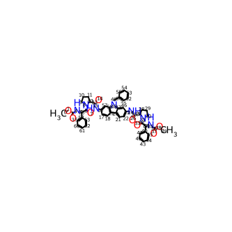 COC(=O)N[C@@H](C(=O)N1CCC[C@H]1C(=O)Nc1ccc2c3ccc(NC(=O)[C@@H]4CCCN4C(=O)[C@H](NC(=O)OC)c4ccccc4)cc3n(Cc3ccccc3)c2c1)c1ccccc1